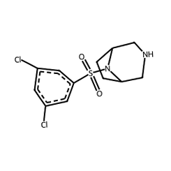 O=S(=O)(c1cc(Cl)cc(Cl)c1)N1C2CCC1CNC2